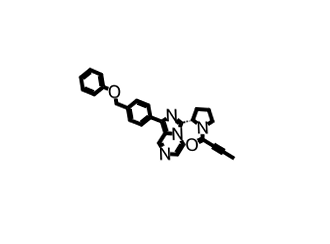 CC#CC(=O)N1CCC[C@H]1c1nc(-c2ccc(COc3ccccc3)cc2)c2cnccn12